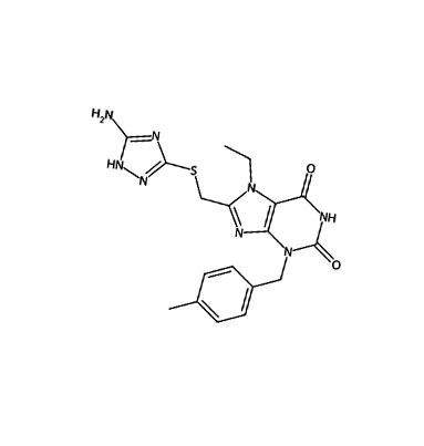 CCn1c(CSc2n[nH]c(N)n2)nc2c1c(=O)[nH]c(=O)n2Cc1ccc(C)cc1